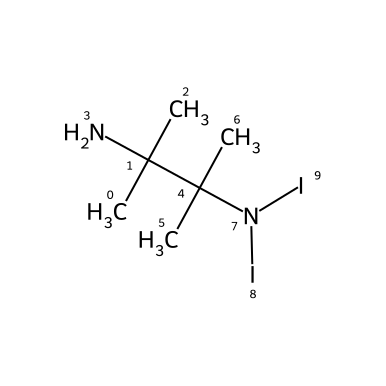 CC(C)(N)C(C)(C)N(I)I